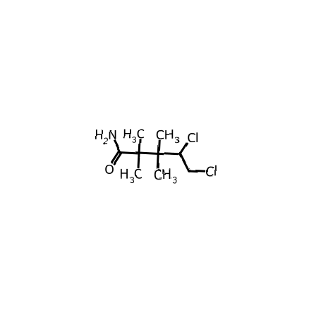 CC(C)(C(N)=O)C(C)(C)C(Cl)CCl